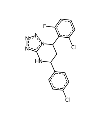 Fc1cccc(Cl)c1C1CC(c2ccc(Cl)cc2)Nc2nnnn21